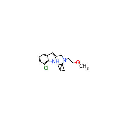 COCCN(Cc1cc2cccc(Cl)c2[nH]1)C12CC(C1)C2